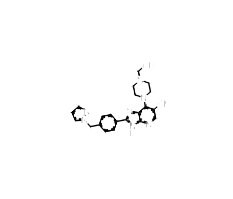 CCN1CCN(c2c(Cl)cnc3[nH]c(-c4ccc(Cn5cccn5)cc4)nc23)CC1